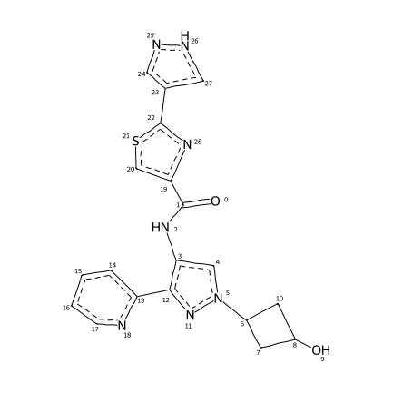 O=C(Nc1cn(C2CC(O)C2)nc1-c1ccccn1)c1csc(-c2cn[nH]c2)n1